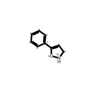 [C]1C=C(c2ccccc2)ON1